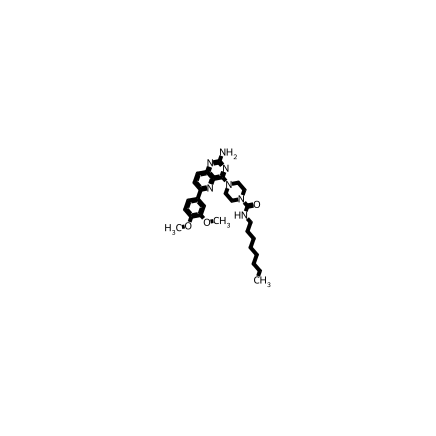 CCCCCCCCNC(=O)N1CCN(c2nc(N)nc3ccc(-c4ccc(OC)c(OC)c4)nc23)CC1